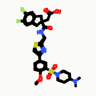 COc1ccc(-c2csc(CNC(=O)C3(CC(=O)O)Cc4cc(F)c(F)cc4C3)n2)cc1S(=O)(=O)N1CCC(N(C)C)CC1